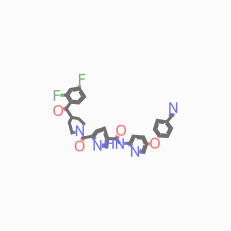 N#Cc1ccc(Oc2ccc(NC(=O)c3ccc(C(=O)N4CCC(C(=O)c5ccc(F)cc5F)CC4)nc3)nc2)cc1